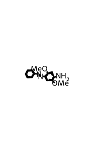 COc1cc(N=Nc2ccccc2)c(OC)cc1N